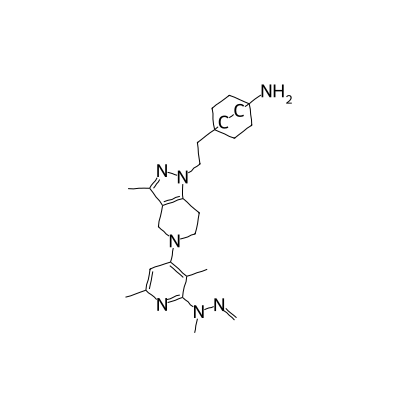 C=NN(C)c1nc(C)cc(N2CCc3c(c(C)nn3CCC34CCC(N)(CC3)CC4)C2)c1C